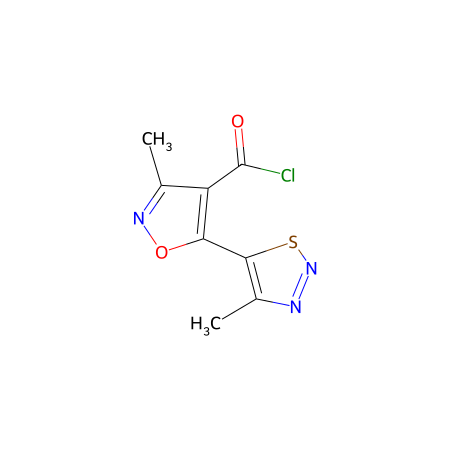 Cc1nnsc1-c1onc(C)c1C(=O)Cl